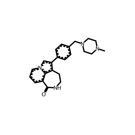 CN1CCN(Cc2ccc(-c3cn4cccc5c4c3CCNC5=O)cc2)CC1